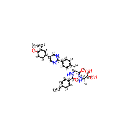 CCCCCCCOc1ccc(-c2cnc(-c3ccc(C[C@@H](NC(=O)c4ccc(C(C)(C)C)cc4)C(=O)N[C@@H](C)C(O)O)cc3)nc2)cc1